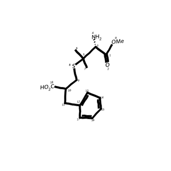 COC(=O)[C@@H](N)C(C)(C)SCC(Cc1ccccc1)C(=O)O